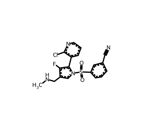 CNCc1cn(S(=O)(=O)c2cccc(C#N)c2)c(-c2cccnc2Cl)c1F